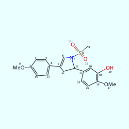 COc1ccc(C2=CN(S(C)(=O)=O)C(c3ccc(OC)c(O)c3)C2)cc1